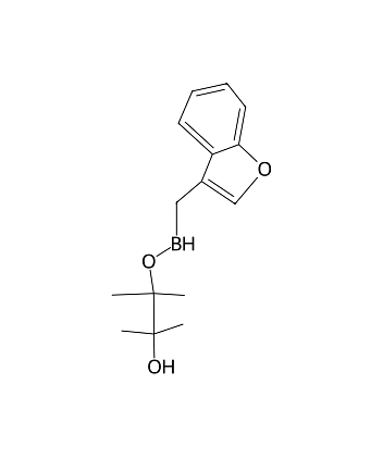 CC(C)(O)C(C)(C)OBCc1coc2ccccc12